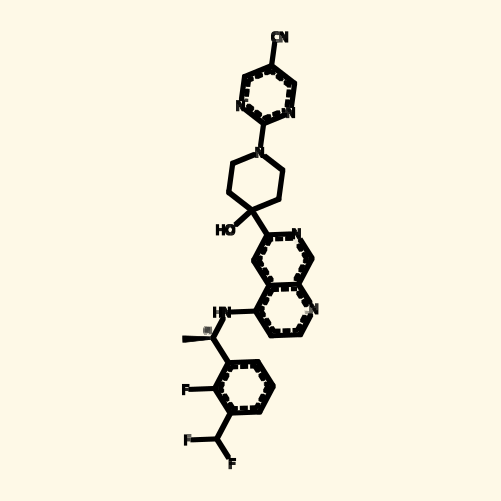 C[C@@H](Nc1ccnc2cnc(C3(O)CCN(c4ncc(C#N)cn4)CC3)cc12)c1cccc(C(F)F)c1F